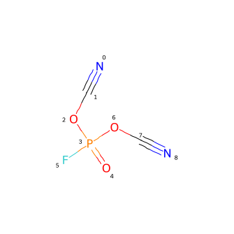 N#COP(=O)(F)OC#N